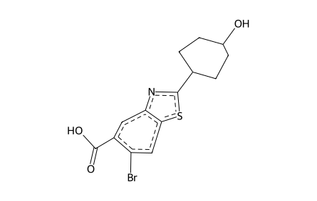 O=C(O)c1cc2nc(C3CCC(O)CC3)sc2cc1Br